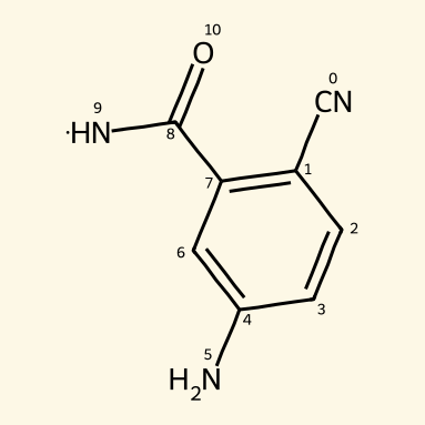 N#Cc1ccc(N)cc1C([NH])=O